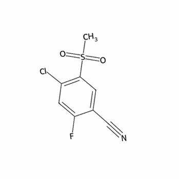 CS(=O)(=O)c1cc(C#N)c(F)cc1Cl